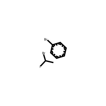 Brc1ccccc1.CC(Br)I